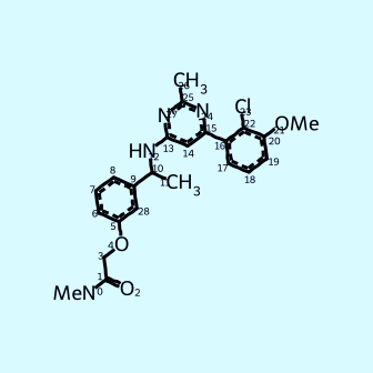 CNC(=O)COc1cccc(C(C)Nc2cc(-c3cccc(OC)c3Cl)nc(C)n2)c1